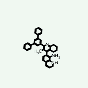 Cc1c(-c2cc(-c3ccccc3)cc(-c3ccccc3)c2)nc2c(c1-c1ccc3c(c1N)NCC=C3)CCCC2